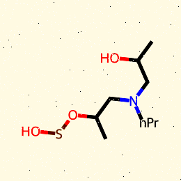 CCCN(CC(C)O)CC(C)OSO